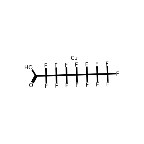 O=C(O)C(F)(F)C(F)(F)C(F)(F)C(F)(F)C(F)(F)C(F)(F)C(F)(F)F.[Cu]